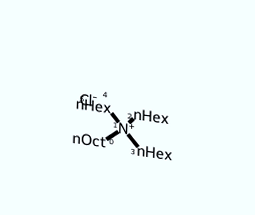 CCCCCCCC[N+](CCCCCC)(CCCCCC)CCCCCC.[Cl-]